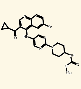 CC(C)(C)OC(=O)NC1CCN(c2ncc(Nc3c(C(=O)C4CC4)cnc4ccc(Br)cc34)cn2)CC1